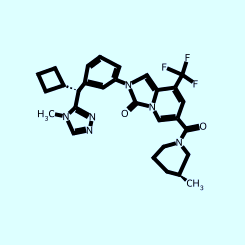 C[C@H]1CCCN(C(=O)c2cc(C(F)(F)F)c3cn(-c4cccc([C@H](c5nncn5C)C5CCC5)c4)c(=O)n3c2)C1